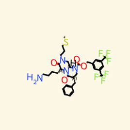 CSCCCN1C[C@@H]2N(C(=O)OCc3cc(C(F)(F)F)cc(C(F)(F)F)c3)C[C@@H](Cc3ccccc3)C(=O)N2[C@@H](CCCCN)C1=O